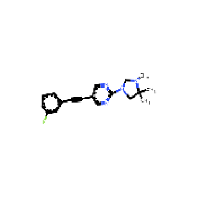 CN1CN(c2ncc(C#Cc3cccc(F)c3)cn2)CC1(C)C